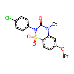 CCN1C(=O)N(c2ccc(Cl)cc2)S(=O)(=O)c2ccc(OC(C)C)cc21